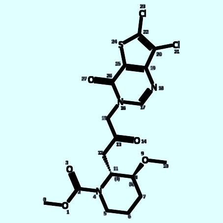 COC(=O)N1CCC[C@H](OC)[C@H]1CC(=O)Cn1cnc2c(Cl)c(Cl)sc2c1=O